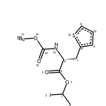 CC(I)OC(=O)[C@@H](Cc1cccs1)NC(=O)OC(C)(C)C